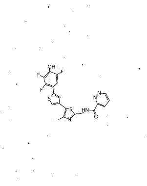 Cc1nc(CNC(=O)c2cccnn2)sc1-c1csc(-c2cc(F)c(O)c(F)c2F)c1